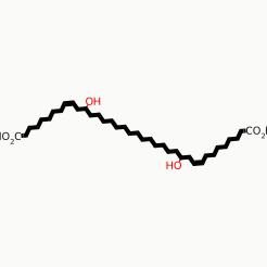 O=C(O)CCCCCCC/C=C\C[C@H](O)CCCCCCCCCCCCCC[C@@H](O)C/C=C\CCCCCCCC(=O)O